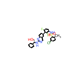 Cc1ccc(Cl)cc1S(=O)(=O)Nc1ccc(F)c(-c2ccc3nc(N[C@@H](CO)c4ccccc4)ncc3c2)c1F